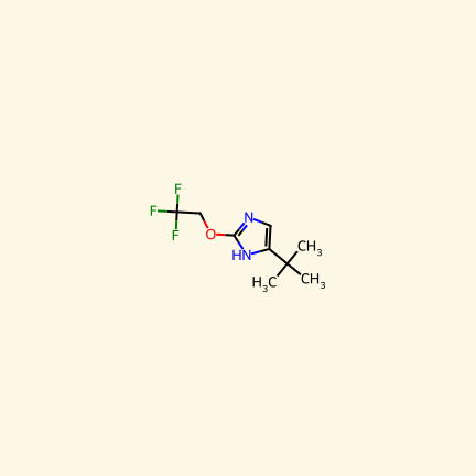 CC(C)(C)c1cnc(OCC(F)(F)F)[nH]1